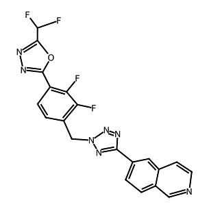 Fc1c(Cn2nnc(-c3ccc4cnccc4c3)n2)ccc(-c2nnc(C(F)F)o2)c1F